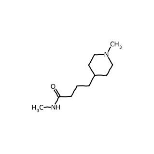 CNC(=O)CCCC1CCN(C)CC1